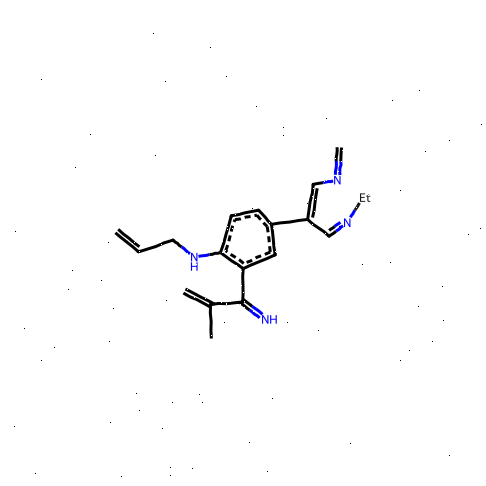 C=CCNc1ccc(C(/C=N\CC)=C/N=C)cc1C(=N)C(=C)C